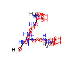 COCCCCCCNC(=O)C[C@H](CCCCNC(=O)CCOCCOCCNC(=O)CCCCO[C@@H]1OC(CO)[C@H](O)[C@H](O)C1NC(C)=O)NC(=O)CCCNC(=O)CCOCCOCCNC(=O)CCCCO[C@@H]1OC(CO)[C@H](O)[C@H](O)C1NC(C)=O